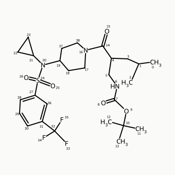 CC(C)CC(CNC(=O)OC(C)(C)C)C(=O)N1CCC(N(C2CC2)S(=O)(=O)c2cccc(C(F)(F)F)c2)CC1